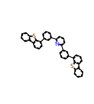 c1cc(-c2cccc(-c3cccc(-c4cccc5c4sc4ccccc45)c3)n2)cc(-c2cccc3c2sc2ccccc23)c1